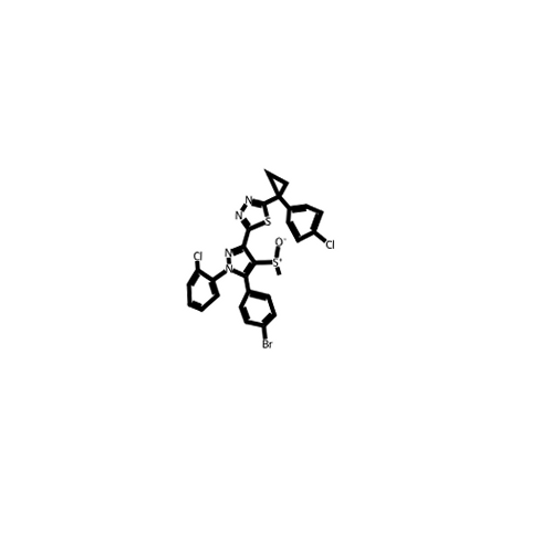 C[S+]([O-])c1c(-c2nnc(C3(c4ccc(Cl)cc4)CC3)s2)nn(-c2ccccc2Cl)c1-c1ccc(Br)cc1